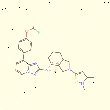 CC1C=C(N2CC3CCC[C@@H](Nc4nc5c(-c6ccc(OC(F)F)cc6)cccn5n4)[C@@H]3C2)SN1C